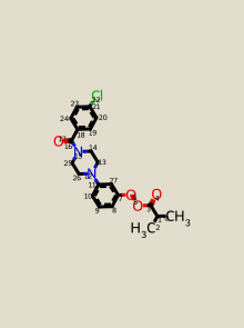 CC(C)C(=O)OOc1cccc(N2CCN(C(=O)c3ccc(Cl)cc3)CC2)c1